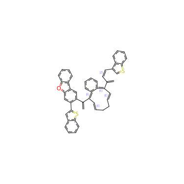 C=C(/C=C\c1csc2ccccc12)C1=c2\cccc\c2=C(C(=C)c2cc3c(cc2-c2cc4ccccc4s2)oc2ccccc23)\C=C\CC\C=C\1